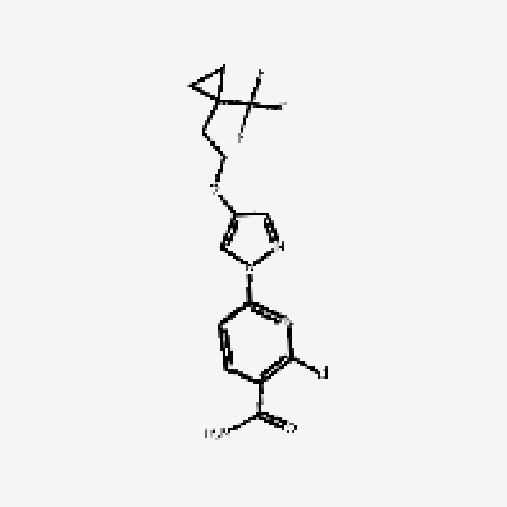 NC(=O)c1ccc(-n2cc(OCCC3(C(F)(F)F)CC3)cn2)nc1Cl